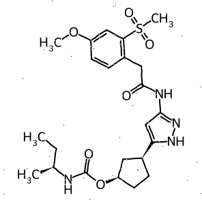 CC[C@H](C)NC(=O)O[C@@H]1CC[C@H](c2cc(NC(=O)Cc3ccc(OC)cc3S(C)(=O)=O)n[nH]2)C1